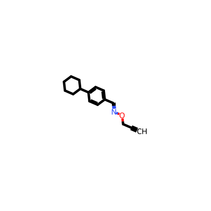 C#CCON=[C]c1ccc(C2CCCCC2)cc1